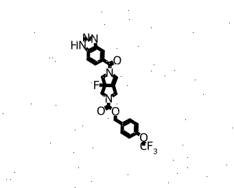 O=C(c1ccc2[nH]nnc2c1)N1C=C2CN(C(=O)OCc3ccc(OC(F)(F)F)cc3)CC2(F)C1